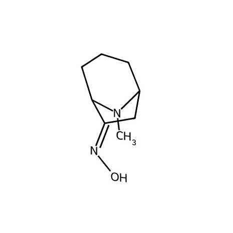 CN1C2CCCC1/C(=N/O)C2